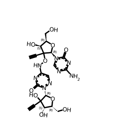 C#CC1(O)[C@@H](O)[C@@H](CO)O[C@H]1n1ncc(NOC2(C#C)[C@@H](O)[C@@H](CO)O[C@H]2n2cnc(N)nc2=O)nc1=O